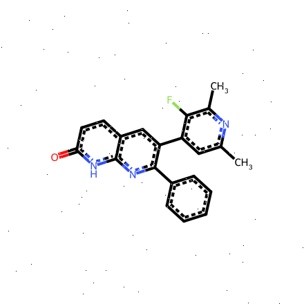 Cc1cc(-c2cc3ccc(=O)[nH]c3nc2-c2ccccc2)c(F)c(C)n1